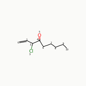 C=CC(Cl)C(=O)CCCCC